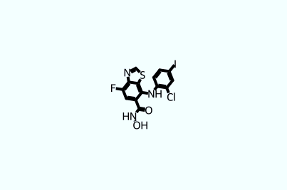 O=C(NO)c1cc(F)c2ncsc2c1Nc1ccc(I)cc1Cl